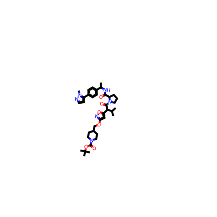 CC(NC(=O)C1CCCN1C(=O)C(c1cc(OCC2CCN(C(=O)OC(C)(C)C)CC2)no1)C(C)C)c1ccc(-c2ccnn2C)cc1